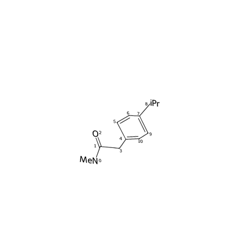 CNC(=O)Cc1ccc(C(C)C)cc1